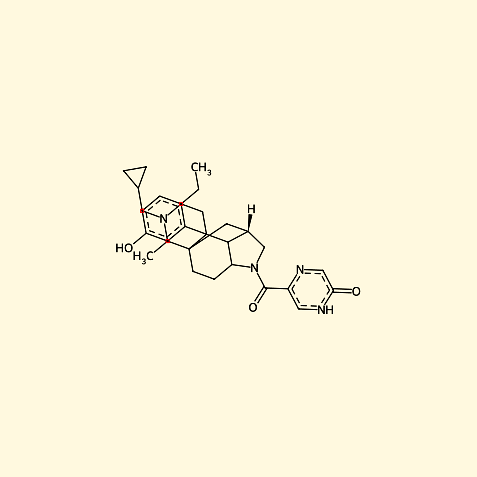 CCc1ccc(O)cc1C12CCN(CC3CC3)C(C)C13CCC1C2[C@@H](CN1C(=O)c1c[nH]c(=O)cn1)C3